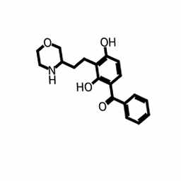 O=C(c1ccccc1)c1ccc(O)c(CCC2COCCN2)c1O